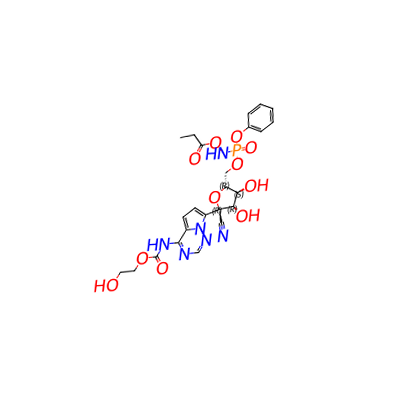 CCC(=O)ONP(=O)(OC[C@H]1O[C@@](C#N)(c2ccc3c(NC(=O)OCCO)ncnn23)[C@H](O)[C@@H]1O)Oc1ccccc1